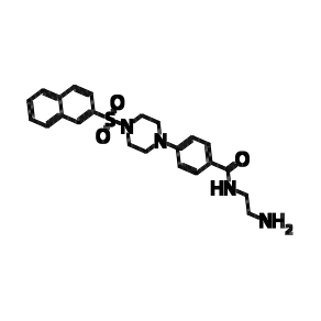 NCCNC(=O)c1ccc(N2CCN(S(=O)(=O)c3ccc4ccccc4c3)CC2)cc1